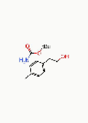 CC(C)(C)OC(N)=O.Cc1ccc(CCO)cc1